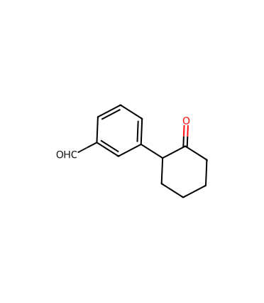 O=Cc1cccc(C2CCCCC2=O)c1